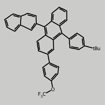 CC(C)(C)c1ccc(-c2c3ccccc3c(-c3ccc4ccccc4c3)c3ccc(-c4ccc(OC(F)(F)F)cc4)cc23)cc1